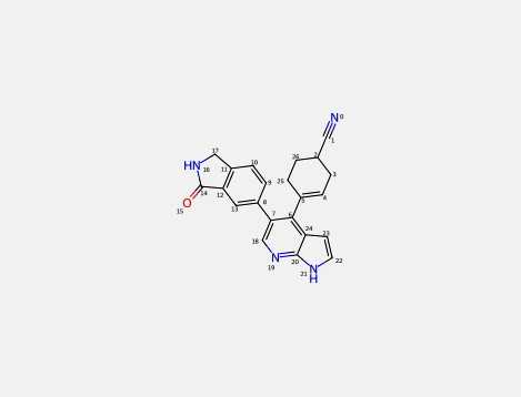 N#CC1CC=C(c2c(-c3ccc4c(c3)C(=O)NC4)cnc3[nH]ccc23)CC1